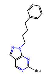 CCCCc1n[c]c2cnn(CCCCc3ccccc3)c2n1